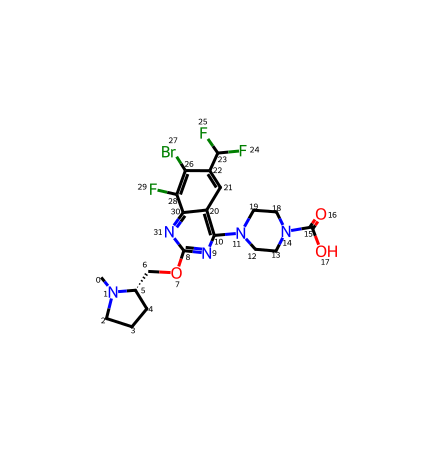 CN1CCC[C@H]1COc1nc(N2CCN(C(=O)O)CC2)c2cc(C(F)F)c(Br)c(F)c2n1